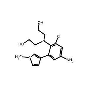 Cn1ccc(-c2cc(N)cc(Cl)c2N(CCO)CCO)c1